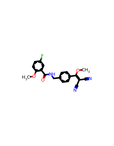 COC(=C(C#N)C#N)c1ccc(CNC(=O)c2cc(F)ccc2OC)cc1